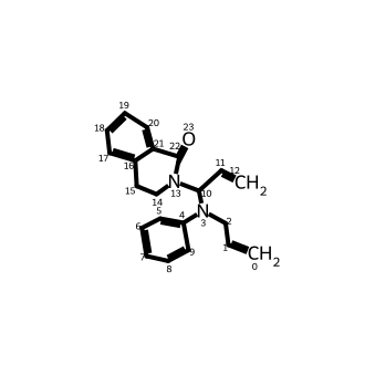 C=CCN(c1ccccc1)C(C=C)N1CCc2ccccc2C1=O